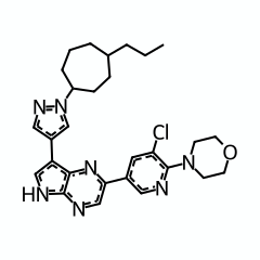 CCCC1CCCC(n2cc(-c3c[nH]c4ncc(-c5cnc(N6CCOCC6)c(Cl)c5)nc34)cn2)CC1